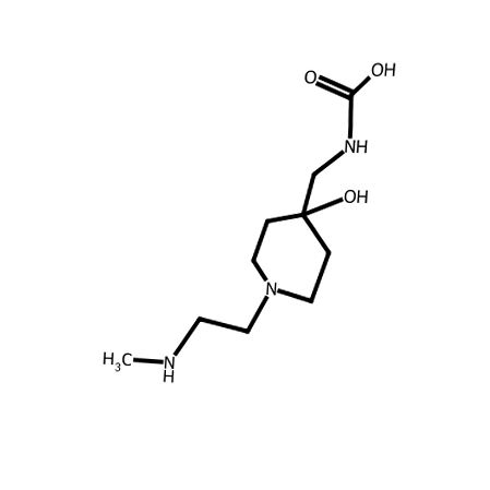 CNCCN1CCC(O)(CNC(=O)O)CC1